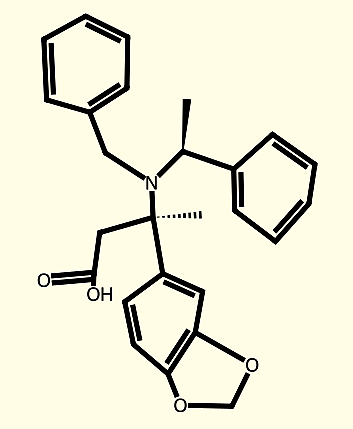 C[C@@H](c1ccccc1)N(Cc1ccccc1)[C@](C)(CC(=O)O)c1ccc2c(c1)OCO2